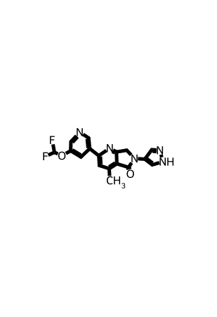 Cc1cc(-c2cncc(OC(F)F)c2)nc2c1C(=O)N(c1cn[nH]c1)C2